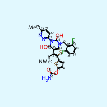 CNCc1c(-c2ccc(OC(N)=O)s2)sc2c1C(O)N(c1ccc(OC)nn1)C(O)N2Cc1c(F)cccc1F